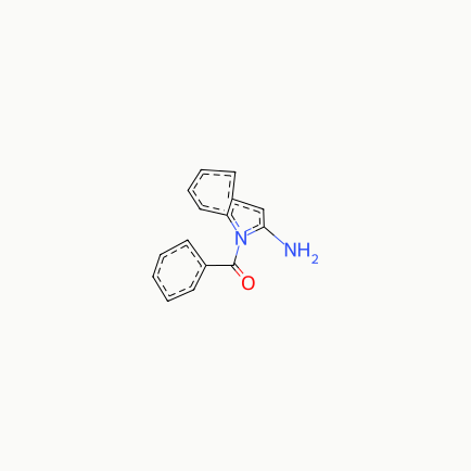 Nc1cc2ccccc2n1C(=O)c1ccccc1